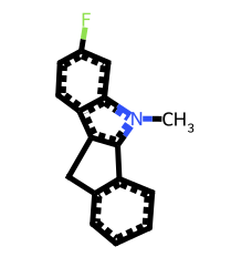 Cn1c2c(c3ccc(F)cc31)Cc1ccccc1-2